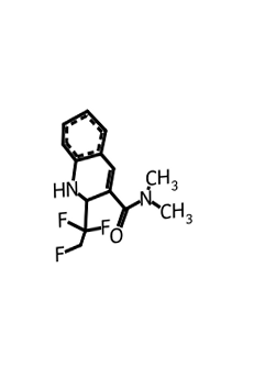 CN(C)C(=O)C1=Cc2ccccc2NC1C(F)(F)CF